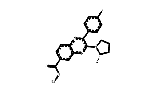 CCSC(=O)c1ccc2nc(-c3ccc(F)cc3)c(N3CCC[C@@H]3C)nc2c1